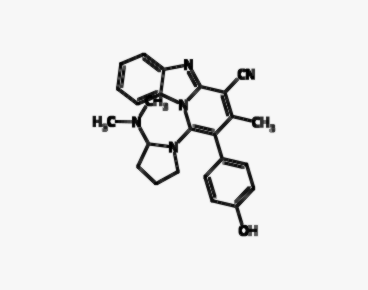 Cc1c(-c2ccc(O)cc2)c(N2CCCC2N(C)C)n2c(nc3ccccc32)c1C#N